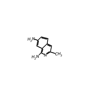 Cc1cc2ccc(N)cc2c(N)n1